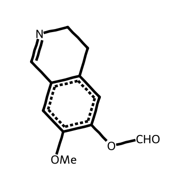 COc1cc2c(cc1OC=O)CCN=C2